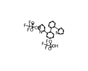 O=S(=O)(O)C(F)(F)F.O=S(=O)(O)C(F)(F)F.c1ccc(-c2ccccc2-c2ccccc2-c2ccccn2)nc1